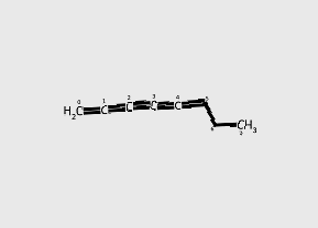 C=C=C=C=C=CCC